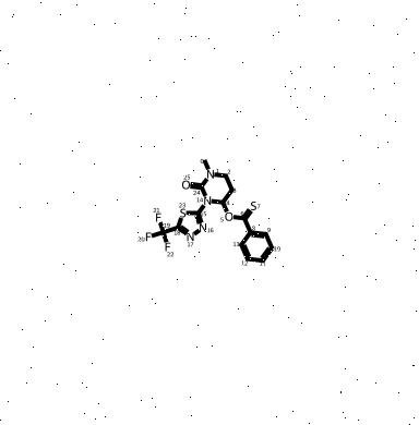 CN1CCC(OC(=S)c2ccccc2)N(c2nnc(C(F)(F)F)s2)C1=O